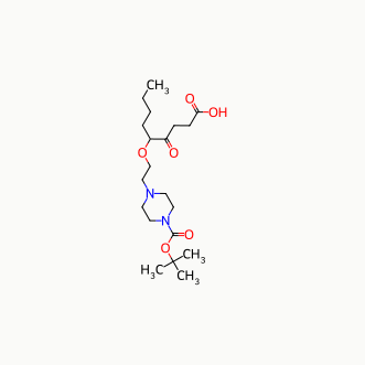 CCCCC(OCCN1CCN(C(=O)OC(C)(C)C)CC1)C(=O)CCC(=O)O